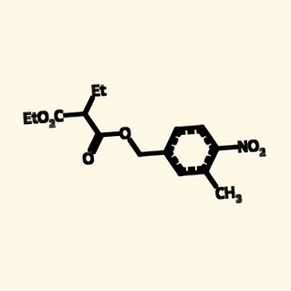 CCOC(=O)C(CC)C(=O)OCc1ccc([N+](=O)[O-])c(C)c1